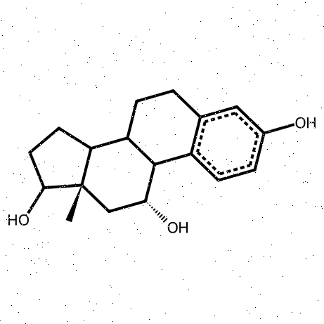 C[C@]12C[C@@H](O)C3c4ccc(O)cc4CCC3C1CCC2O